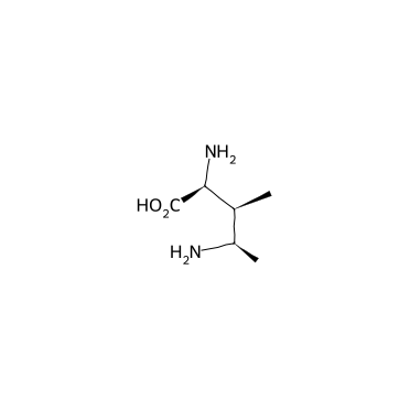 C[C@H]([C@H](N)C(=O)O)[C@@H](C)N